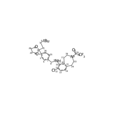 CC(C)(C)CCC1(c2ccc(CNc3c(Cl)ccc4c3CCN(C(=O)C(F)(F)F)CC4)cc2)OCCO1